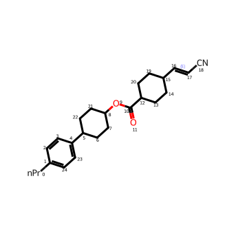 CCCc1ccc(C2CCC(OC(=O)C3CCC(/C=C/C#N)CC3)CC2)cc1